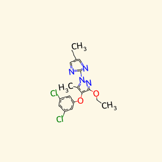 CCOc1nn(-c2ncc(CC)cn2)c(C)c1Oc1cc(Cl)cc(Cl)c1